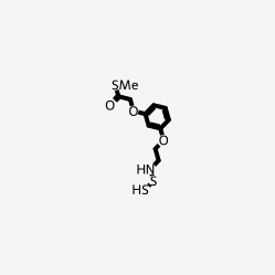 CSC(=O)COc1cccc(OCCNSS)c1